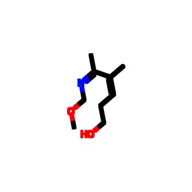 COC/N=C(C)\C(C)=C/CCO